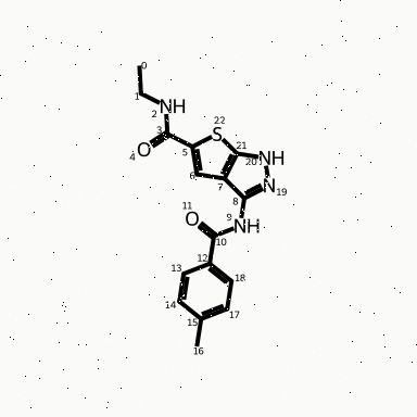 CCNC(=O)c1cc2c(NC(=O)c3ccc(C)cc3)n[nH]c2s1